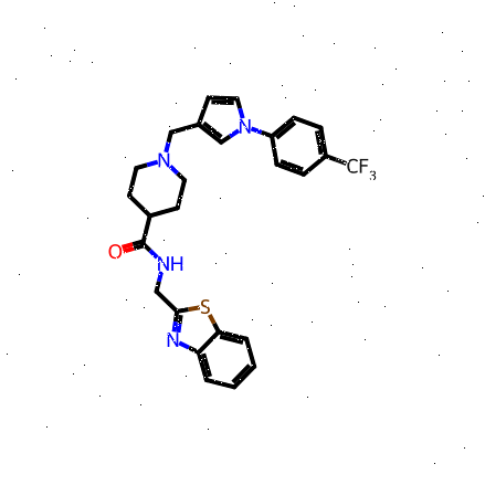 O=C(NCc1nc2ccccc2s1)C1CCN(Cc2ccn(-c3ccc(C(F)(F)F)cc3)c2)CC1